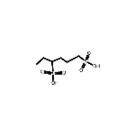 CCC(CCCS(=O)(=O)O)S(=O)(=O)O